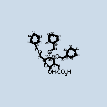 O=C(O)CC1C(O)OC(COCc2ccccc2)[C@H](OCc2ccccc2)[C@@H]1OCc1ccccc1